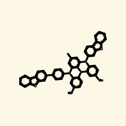 Cc1cc2c3c(c1)N(c1ccc(-c4ccc5c(c4)oc4ccccc45)cc1)c1cc(C(C)(C)C)ccc1B3c1cc(C(C)(C)C)ccc1N2c1ccc2c(c1)oc1ccccc12